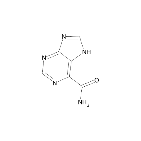 NC(=O)c1ncnc2nc[nH]c12